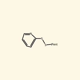 CCCC(C)SSc1ccccn1